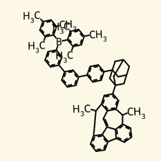 Cc1cc(C)c(B(c2cccc(-c3cccc(-c4ccc(C56CC7CC(C5)CC(c5cc8c9c(c5)C(C)c5cccc%10c5C(=C9)c5c-%10cccc5C8C)(C7)C6)cc4)c3)c2)c2c(C)cc(C)cc2C)c(C)c1